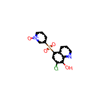 O=S(=O)(c1ccc[n+]([O-])c1)c1cc(Cl)c(O)c2ncccc12